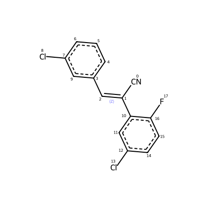 N#C/C(=C\c1cccc(Cl)c1)c1cc(Cl)ccc1F